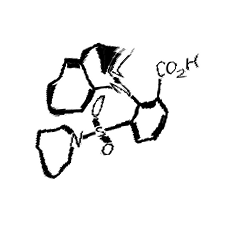 O=C(O)c1cccc(S(=O)(=O)N2CCCCC2)c1-n1ncc2ccccc21